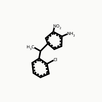 CC(c1ccc(N)c([N+](=O)[O-])c1)c1ccccc1Cl